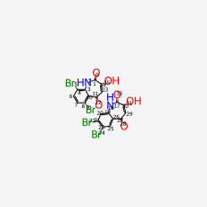 O=c1[nH]c2c(Br)ccc(Br)c2c(=O)cc1O.O=c1[nH]c2cc(Br)c(Br)cc2c(=O)cc1O